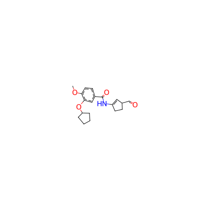 COc1ccc(C(=O)NC2=CC(C=O)CC2)cc1OC1CCCC1